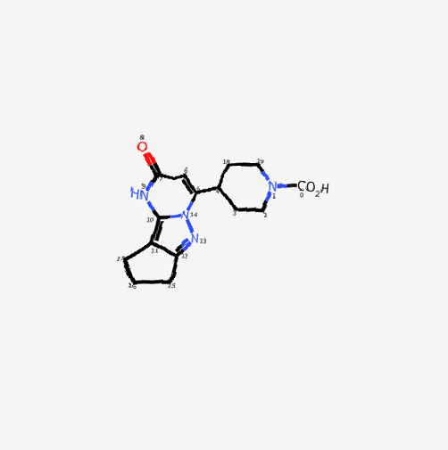 O=C(O)N1CCC(c2cc(=O)[nH]c3c4c(nn23)CCC4)CC1